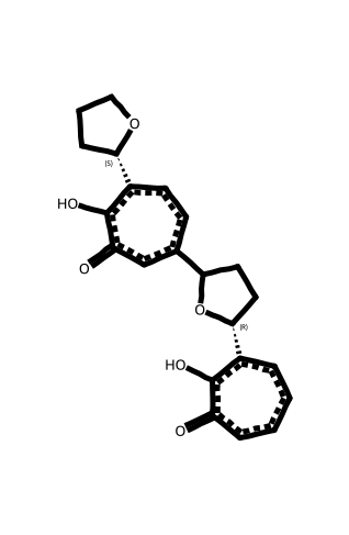 O=c1cc(C2CC[C@H](c3ccccc(=O)c3O)O2)ccc([C@@H]2CCCO2)c1O